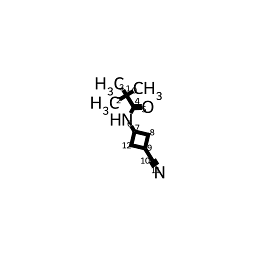 CC(C)(C)C(=O)NC1CC(C#N)C1